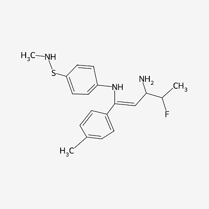 CNSc1ccc(N/C(=C\C(N)C(C)F)c2ccc(C)cc2)cc1